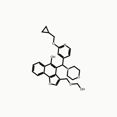 OCOCc1coc2c1c(C(c1ccnc(OCC3CC3)c1)N1CCOCC1)c(O)c1ccccc12